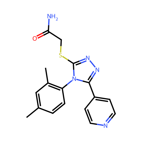 Cc1ccc(-n2c(SCC(N)=O)nnc2-c2ccncc2)c(C)c1